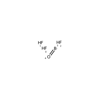 F.F.F.[B]=O